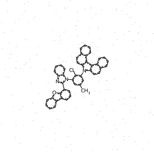 Cc1cc(-n2c(-c3cccc4c3oc3ccccc34)nc3ccccc32)c(Cl)c(-n2c3ccc4ccccc4c3c3c4ccccc4ccc32)c1